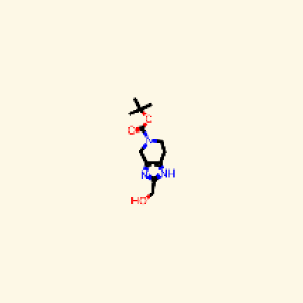 CC(C)(C)OC(=O)N1CCc2[nH]c(CO)nc2C1